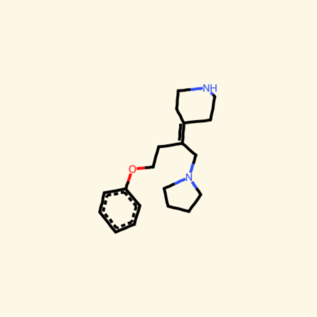 c1ccc(OCCC(CN2CCCC2)=C2CCNCC2)cc1